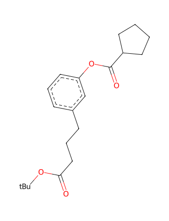 CC(C)(C)OC(=O)CCCc1cccc(OC(=O)C2CCCC2)c1